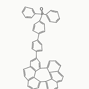 O=P(c1ccccc1)(c1ccccc1)c1ccc(-c2ccc(-c3cc4ccc5cccc6c7cccc8ccc9cccc(c(c3)c4c56)c9c87)cc2)cc1